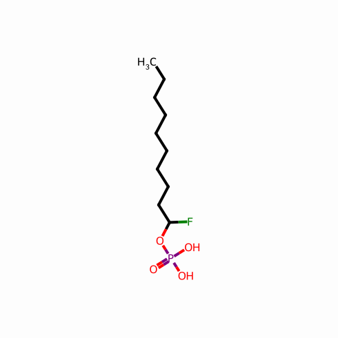 CCCCCCCCCC(F)OP(=O)(O)O